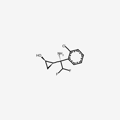 N[C@](c1ccccc1Cl)(C(F)F)[C@H]1C[C@H]1O